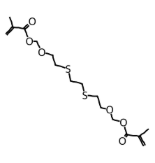 C=C(C)C(=O)OCOCCSCCSCCOCOC(=O)C(=C)C